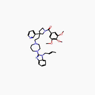 CC=CCn1c(N2CCCN(CCC3(c4cccnc4)CCN(C(=O)c4cc(OC)c(OC)c(OC)c4)C3)CC2)nc2ccccc21